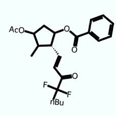 CCCCC(F)(F)C(=O)/C=C/[C@H]1C(OC(=O)c2ccccc2)CC(OC(C)=O)C1C